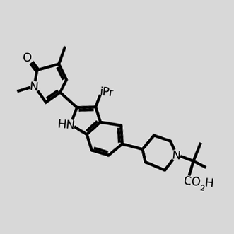 Cc1cc(-c2[nH]c3ccc(C4CCN(C(C)(C)C(=O)O)CC4)cc3c2C(C)C)cn(C)c1=O